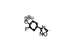 CCCCOc1ccc(-c2n[c]on2)cc1F